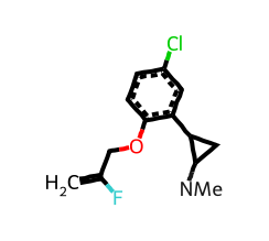 C=C(F)COc1ccc(Cl)cc1C1CC1NC